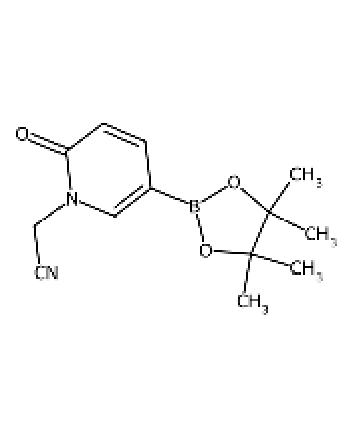 CC1(C)OB(c2ccc(=O)n(CC#N)c2)OC1(C)C